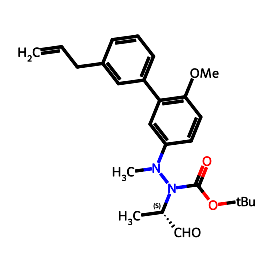 C=CCc1cccc(-c2cc(N(C)N(C(=O)OC(C)(C)C)[C@@H](C)C=O)ccc2OC)c1